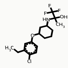 CCc1cc(OC2CCCC(NC(C)(O)C(F)(F)F)C2)ccc1Cl